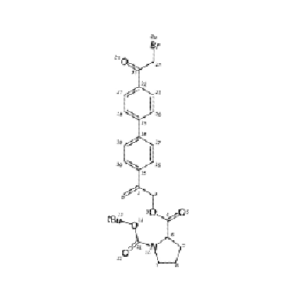 C=C(COC(=O)C1CCCN1C(=O)OC(C)(C)C)c1ccc(-c2ccc(C(=O)CBr)cc2)cc1